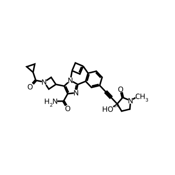 CN1CC[C@](O)(C#Cc2ccc3c(c2)-c2nc(C(N)=O)c(C4CN(C(=O)C5CC5)C4)n2C2C=C3C2)C1=O